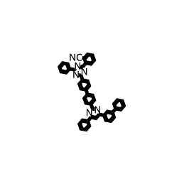 N#Cc1ccccc1-c1nc(-c2ccccc2)nc(-c2ccc(-c3ccc(-c4nc(-c5ccccc5)cc(-c5cccc(-c6ccccc6)c5)n4)cc3)cc2)n1